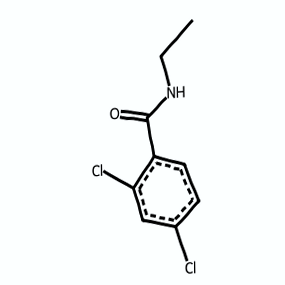 CCNC(=O)c1ccc(Cl)cc1Cl